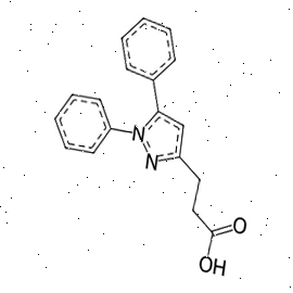 O=C(O)CCc1cc(-c2ccccc2)n(-c2ccccc2)n1